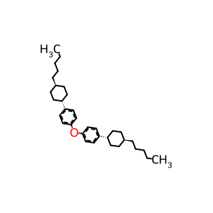 CCCCC[C@H]1CC[C@H](c2ccc(Oc3ccc([C@H]4CC[C@H](CCCCC)CC4)cc3)cc2)CC1